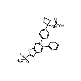 CS(=O)(=O)c1cc2c(o1)CN(c1ccc(C3(NC(=O)O)CCC3)cc1)C(c1ccccc1)=C2